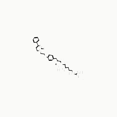 CCOC(Cc1ccc(OCCn2c(CC)nc(-c3ccccc3)cc2=O)cc1)C(=O)OC(=O)[C@@H](N)CCCNC(=N)N